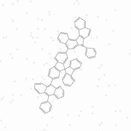 c1ccc(-c2c3ccccc3c(-c3ccc4c(c3)C3(c5ccccc5-c5ccccc53)c3cc(-c5cc6c(c7ccccc57)c5c7ccccc7ccc5n6-c5ccccc5)ccc3-4)c3ccccc23)cc1